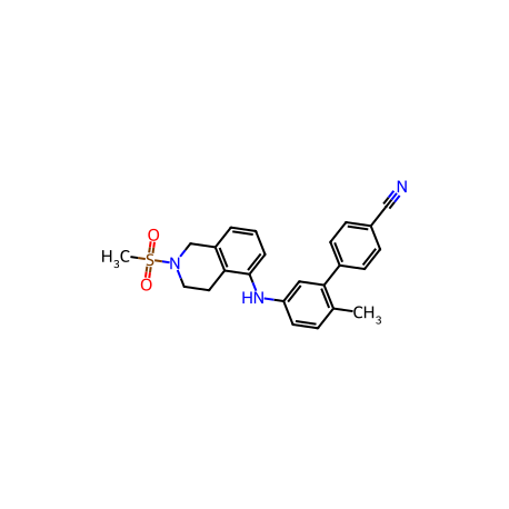 Cc1ccc(Nc2cccc3c2CCN(S(C)(=O)=O)C3)cc1-c1ccc(C#N)cc1